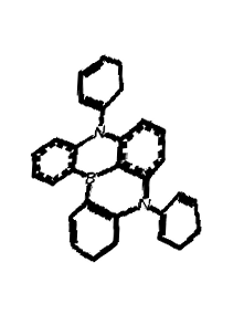 C1=CCCC(N2c3ccccc3B3C4=C(CCC=C4)N(C4=CCCC=C4)c4cccc2c43)=C1